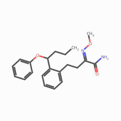 CCCC(Oc1ccccc1)c1ccccc1CCC(=NOC)C(N)=O